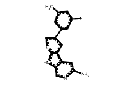 Cc1cc(F)cc(-c2cnc3[nH]c4cnc(N)cc4c3c2)c1